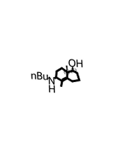 CCCCNC1CC[C@@]2(C)C(=C1C)CCC[C@@H]2O